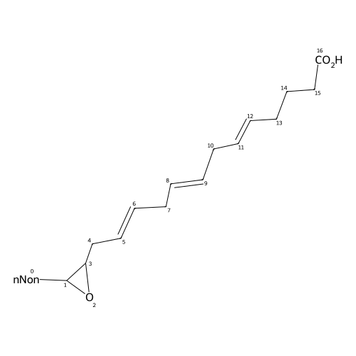 CCCCCCCCCC1OC1CC=CCC=CCC=CCCCC(=O)O